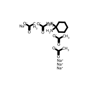 CC(=O)[O-].CC(=O)[O-].CC(=O)[O-].CC(=O)[O-].NC1(N)CCCCC1.[Na+].[Na+].[Na+].[Na+]